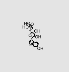 O=P(O)(O)OC[C@H]1O[C@H](n2cnc3cc(O)ccc32)[C@H](O)[C@@H]1O